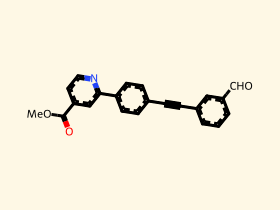 COC(=O)c1ccnc(-c2ccc(C#Cc3cccc(C=O)c3)cc2)c1